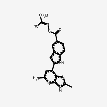 CCOC(=O)/C(C#N)=N/OC(=O)c1ccc2[nH]c(-c3cc(N)nc4[nH]c(C)nc34)cc2c1